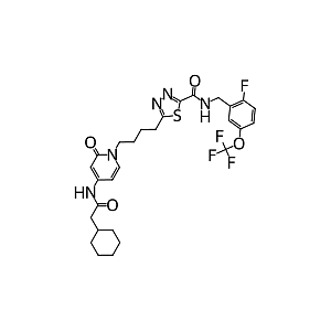 O=C(CC1CCCCC1)Nc1ccn(CCCCc2nnc(C(=O)NCc3cc(OC(F)(F)F)ccc3F)s2)c(=O)c1